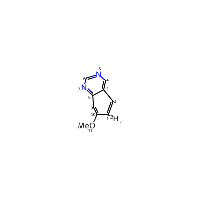 [2H]c1cc2cncnc2cc1OC